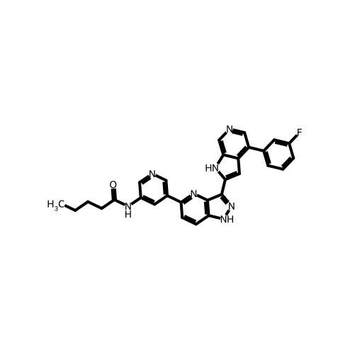 CCCCC(=O)Nc1cncc(-c2ccc3[nH]nc(-c4cc5c(-c6cccc(F)c6)cncc5[nH]4)c3n2)c1